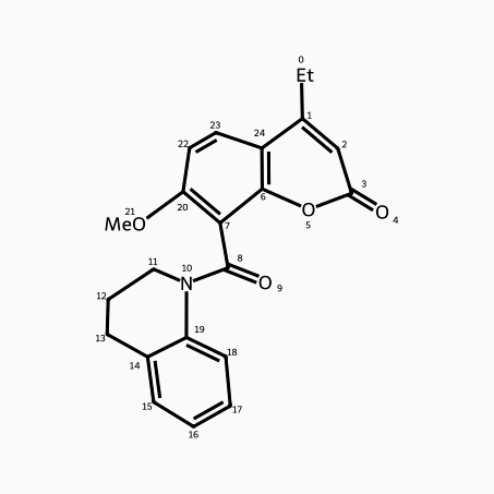 CCc1cc(=O)oc2c(C(=O)N3CCCc4ccccc43)c(OC)ccc12